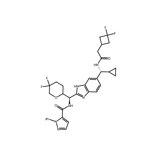 CC(C)n1nccc1C(=O)N[C@H](c1nc2ccc([C@H](NC(=O)CC3CC(F)(F)C3)C3CC3)cc2[nH]1)C1CCC(F)(F)CO1